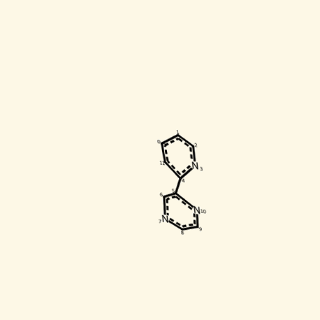 [c]1ccnc(-c2cnccn2)c1